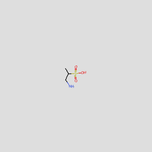 CC(C[NH])S(=O)(=O)O